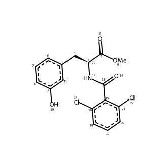 COC(=O)[C@H](Cc1cccc(O)c1)NC(=O)c1c(Cl)cccc1Cl